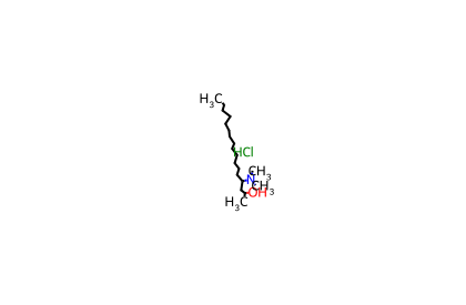 CCCCCCCCCCCCCC(CC(C)O)N(C)C.Cl